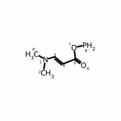 CN(C)/C=C/C(=O)OP